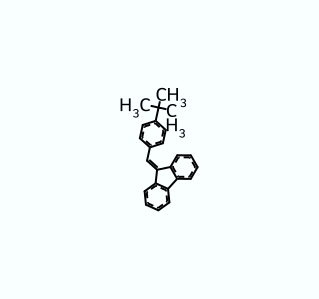 CC(C)(C)c1ccc(C=C2c3ccccc3-c3ccccc32)cc1